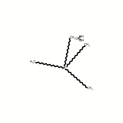 CCCCCCCCCCCCCCCC[P+](CCCCCCCCCCCCCCCC)(CCCCCCCCCCCCCCCC)CCCCCCCCCCCCCCCC.[O-]B(O)O